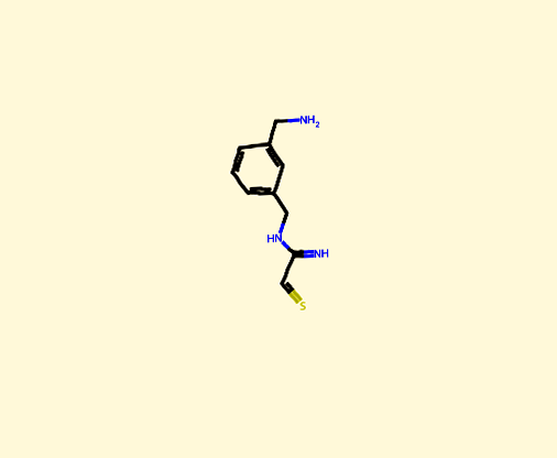 N=C(C=S)NCc1cccc(CN)c1